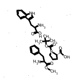 CC(C)(C)OC(=O)N1CCC[C@H]1C(=O)O.COC(=O)C(N)Cc1ccccc1.NC(Cc1c[nH]c2ccccc12)C(=O)O